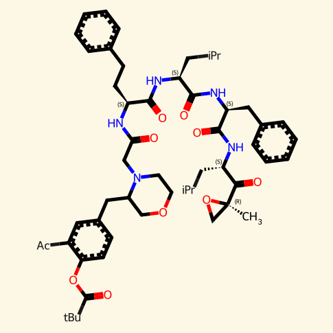 CC(=O)c1cc(CC2COCCN2CC(=O)N[C@@H](CCc2ccccc2)C(=O)N[C@@H](CC(C)C)C(=O)N[C@@H](Cc2ccccc2)C(=O)N[C@@H](CC(C)C)C(=O)[C@@]2(C)CO2)ccc1OC(=O)C(C)(C)C